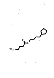 [CH2]CCCC(=O)OCCCCC1CCCC1